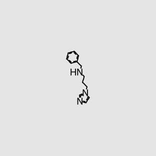 c1ccc(CNCCCn2ccnc2)cc1